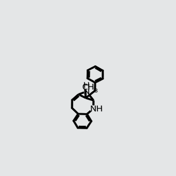 CC1(Cc2ccccc2)/C2=C\Cc3ccccc3NC1N2